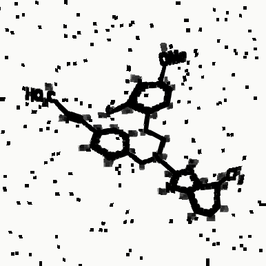 COc1ccc(CCN(Cc2ccc(C#CC(=O)O)cc2)c2nc3cccc(C(F)(F)F)c3s2)c(F)c1